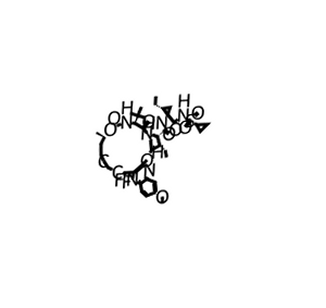 CC[C@@H]1[C@@H]2CN(C(=O)[C@H](C(C)(C)C)NC(=O)O[C@H](C)CCCCCC(F)(F)c3nc4ccc(OC)cc4nc3O2)[C@@H]1C(=O)N[C@]1(C(=O)NS(=O)(=O)C2CC2)C[C@H]1CC